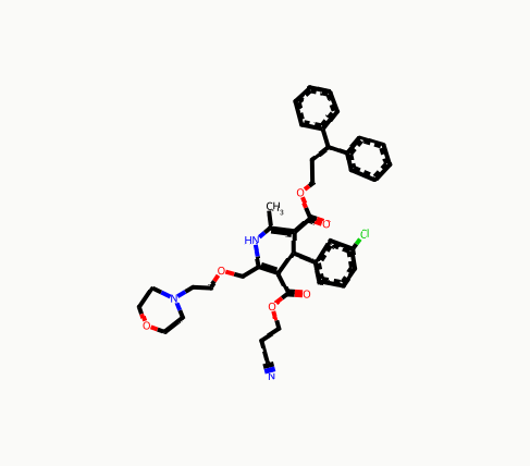 CC1=C(C(=O)OCCC(c2ccccc2)c2ccccc2)C(c2cccc(Cl)c2)C(C(=O)OCCC#N)=C(COCCN2CCOCC2)N1